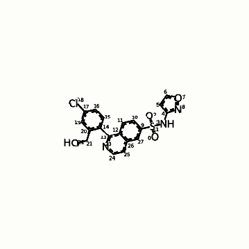 O=S(=O)(Nc1ccon1)c1ccc2c(-c3ccc(Cl)cc3CO)nccc2c1